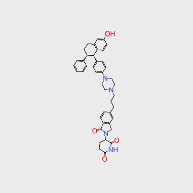 O=C1CCC(N2Cc3cc(CCCN4CCN(c5ccc([C@@H]6c7ccc(O)cc7CC[C@@H]6c6ccccc6)cc5)CC4)ccc3C2=O)C(=O)N1